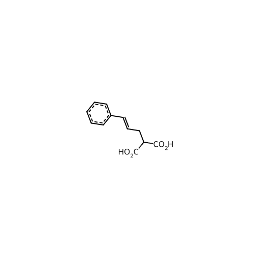 O=C(O)C(C/C=C/c1ccccc1)C(=O)O